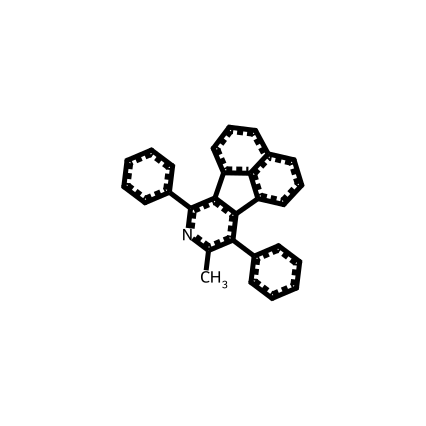 Cc1nc(-c2ccccc2)c2c(c1-c1ccccc1)-c1cccc3cccc-2c13